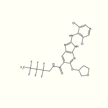 O=C(NCC(F)(F)C(F)(F)C(F)(F)C(F)(F)F)c1cc2nc(Nc3c(Cl)cncc3Cl)[nH]c2nc1OC1CCOC1